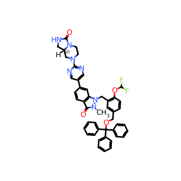 Cn1c(=O)c2ccc(-c3cnc(N4CCN5C(=O)NC[C@H]5C4)nc3)cc2n1Cc1cc(COC(c2ccccc2)(c2ccccc2)c2ccccc2)ccc1OC(F)F